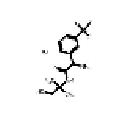 CC(C)(CO)NC(=O)C(N)c1cccc(C(F)(F)F)c1.Cl